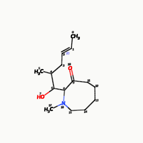 C/C=C/CC(C)C(O)C1C(=O)CCCCCN1C